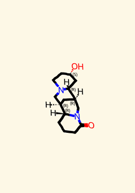 O=C1CCC[C@@H]2[C@@H]3C[C@H](CN12)[C@H]1C[C@@H](O)CCN1C3